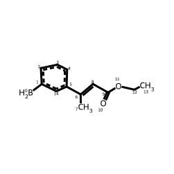 Bc1cccc(/C(C)=C/C(=O)OCC)c1